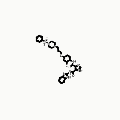 O=C(Nc1ccc(OCCCN2CCN(S(=O)(=O)c3ccccc3)CC2)cc1Cl)c1nc[nH]c1C(=O)Nc1nc2ccccc2[nH]1